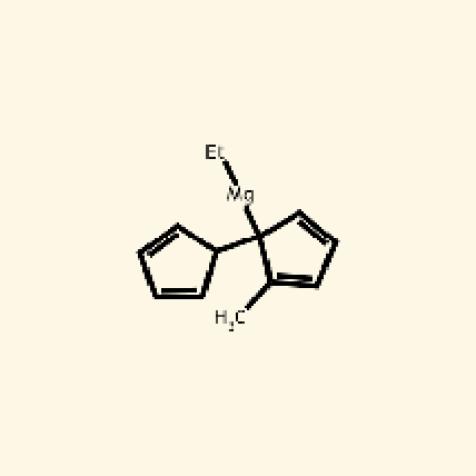 C[CH2][Mg][C]1(C2C=CC=C2)C=CC=C1C